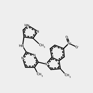 Cc1cnc(Nc2c[nH]nc2C)nc1-n1cc(C)c2cc([N+](=O)[O-])ccc21